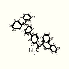 CN(c1ccc(-c2ccc(N(c3ccccc3)c3ccccc3)cc2)cc1)c1cc2ccccc2c2ccccc12